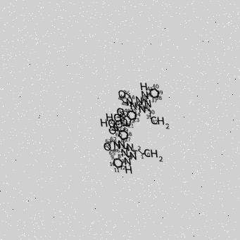 C=CCc1nc(Nc2ccccc2)nc(N(c2ccc(C=Cc3ccc(N(c4nc(CC=C)nc(Nc5ccccc5)n4)N4CCOCC4)cc3S(=O)(=O)O)c(S(=O)(=O)O)c2)N2CCOCC2)n1